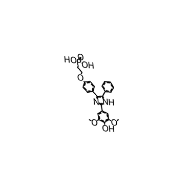 COc1cc(-c2nc(-c3ccc(OCCP(=O)(O)O)cc3)c(-c3ccccc3)[nH]2)cc(OC)c1O